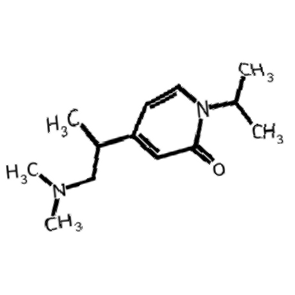 CC(CN(C)C)c1ccn(C(C)C)c(=O)c1